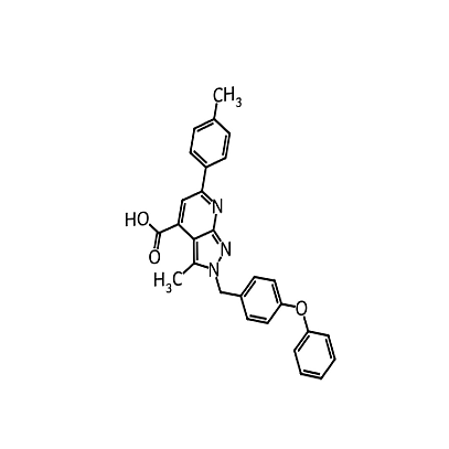 Cc1ccc(-c2cc(C(=O)O)c3c(C)n(Cc4ccc(Oc5ccccc5)cc4)nc3n2)cc1